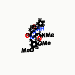 CNC(=O)C[C@H]1CN(Cc2cc(OC)cc(OC)c2)C(=O)[C@H](CC(C)C)N1C(=O)NC1CCCC1